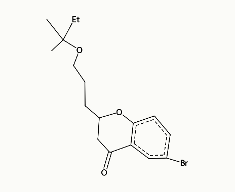 CCC(C)(C)OCCCC1CC(=O)c2cc(Br)ccc2O1